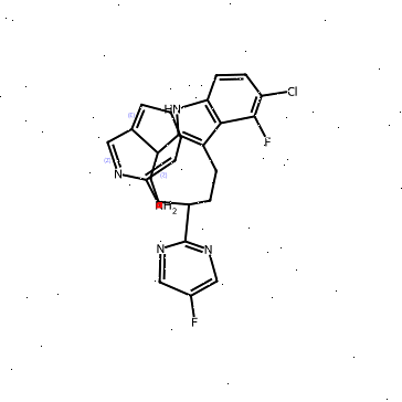 NC1=C/CC/C=C(C2CCC(c3ncc(F)cn3)CCc3c2[nH]c2ccc(Cl)c(F)c32)/C=N\1